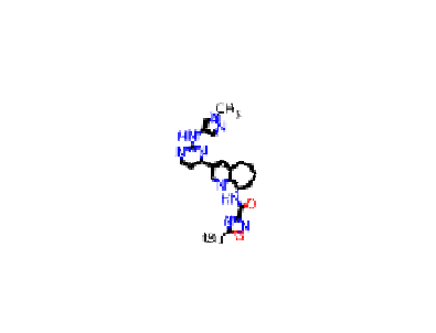 Cn1cc(Nc2nccc(-c3cnc4c(c3)CCCC[C@H]4NC(=O)c3noc(C(C)(C)C)n3)n2)cn1